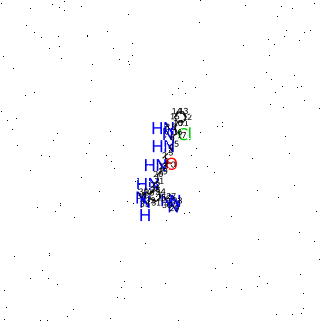 O=C(CCNCc1n[nH]c(-c2ccccc2)c1Cl)NCCCNc1cc(-n2cnnc2)cc2[nH]ncc12